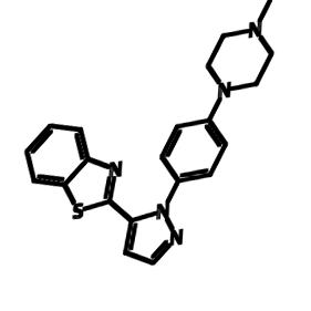 CN1CCN(c2ccc(-n3nccc3-c3nc4ccccc4s3)cc2)CC1